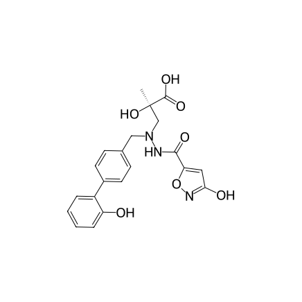 C[C@@](O)(CN(Cc1ccc(-c2ccccc2O)cc1)NC(=O)c1cc(O)no1)C(=O)O